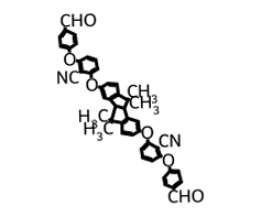 CC1(C)c2ccc(Oc3cccc(Oc4ccc(C=O)cc4)c3C#N)cc2C2C1c1cc(Oc3cccc(Oc4ccc(C=O)cc4)c3C#N)ccc1C2(C)C